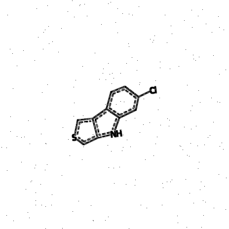 Clc1ccc2c(c1)[nH]c1cscc12